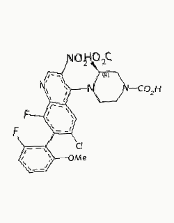 COc1cccc(F)c1-c1c(Cl)cc2c(N3CCN(C(=O)O)C[C@@H]3C(=O)O)c([N+](=O)[O-])cnc2c1F